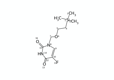 C[Si](C)(C)CCOCn1cc(F)c(=O)[nH]c1=O